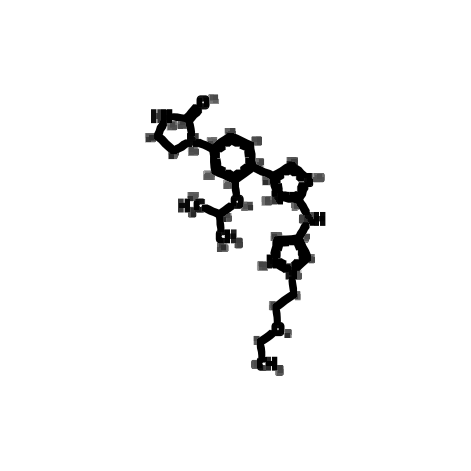 CCOCCn1cc(Nc2nc(-c3ccc(N4CCNC4=O)cc3OC(C)C)cs2)cn1